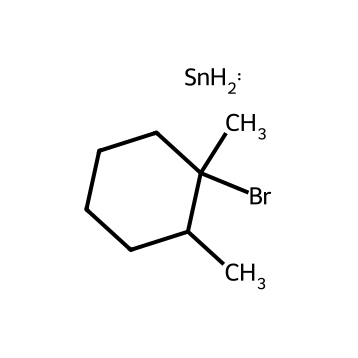 CC1CCCCC1(C)Br.[SnH2]